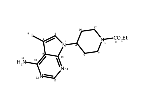 CCOC(=O)N1CCC(n2cc(I)c3c(N)ncnc32)CC1